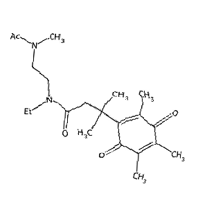 CCN(CCN(C)C(C)=O)C(=O)CC(C)(C)C1=C(C)C(=O)C(C)=C(C)C1=O